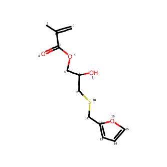 C=C(C)C(=O)OCC(O)CSCc1ccco1